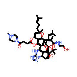 CC(C)=CCCC1(C)C=Cc2c(c(CC=C(C)C)c3c(c2OC(=O)CCC(=O)N2CCN(C)CC2)C2=C4C(C5CC6C(C)(C)OC(C/C=C(/C)C(=O)NCCO)(C5=O)C46O3)n3ncnc3N2)O1